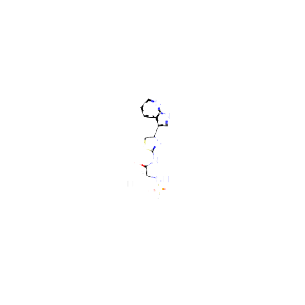 C[C@@H](NS(C)(=O)=O)C(=O)NC1=NC(c2c[nH]c3ncccc23)CS1